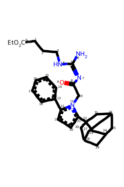 CCOC(=O)CCCN/C(N)=N\C(=O)Cn1c(-c2ccccc2)ccc1C12CC3CC(CC(C3)C1)C2